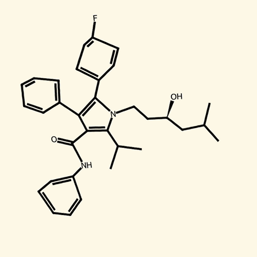 CC(C)C[C@H](O)CCn1c(-c2ccc(F)cc2)c(-c2ccccc2)c(C(=O)Nc2ccccc2)c1C(C)C